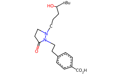 CCCCC(O)CCCN1CCC(=O)N1CCc1ccc(C(=O)O)cc1